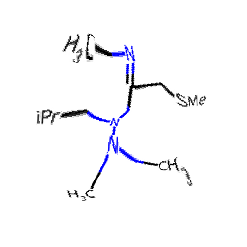 C/N=C(/SC)N(C(C)C)N(C)C